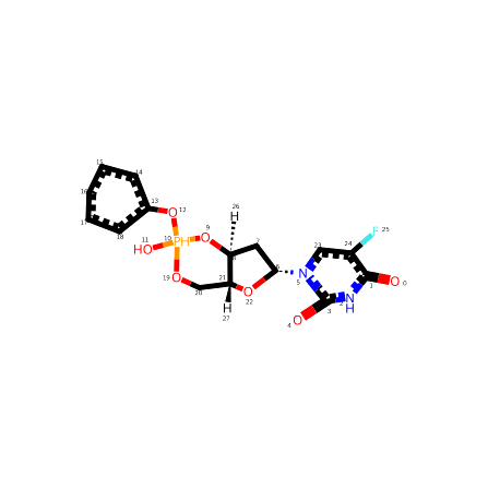 O=c1[nH]c(=O)n([C@H]2C[C@@H]3O[PH](O)(Oc4ccccc4)OC[C@H]3O2)cc1F